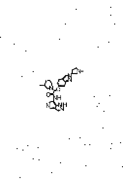 C[C@H]1CC[C@H](c2ccc3nn([C@H]4CCN(C)C4)cc3c2)N(C(=O)C(=O)Nc2cncc3cn[nH]c23)C1